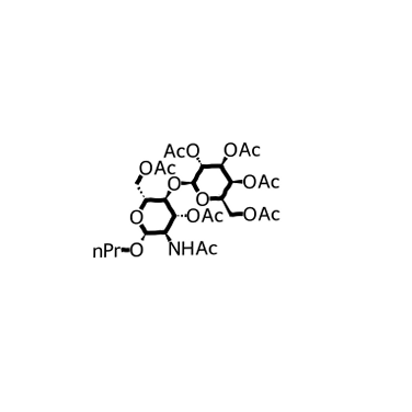 CCCO[C@@H]1O[C@H](COC(C)=O)[C@@H](O[C@@H]2O[C@H](COC(C)=O)[C@H](OC(C)=O)[C@H](OC(C)=O)[C@H]2OC(C)=O)[C@H](OC(C)=O)[C@H]1NC(C)=O